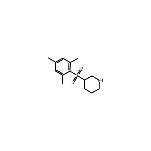 Cc1cc(C)c(S(=O)(=O)C2CCCNC2)c(C)c1